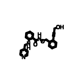 O=C(NOCc1ccccc1C#CCO)c1ccccc1NCc1ccncc1